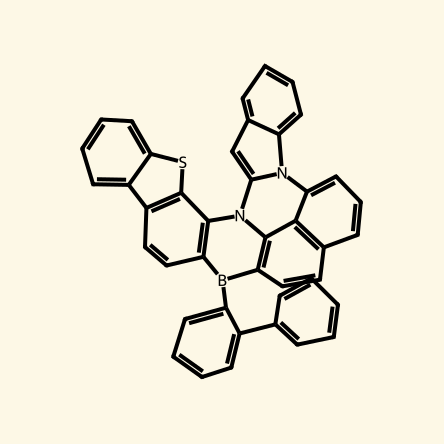 c1ccc(-c2ccccc2B2c3ccc4c(sc5ccccc54)c3-n3c4c2ccc2cccc(c24)n2c4ccccc4cc32)cc1